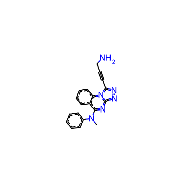 CN(c1ccccc1)c1nc2nnc(C#CCN)n2c2ccccc12